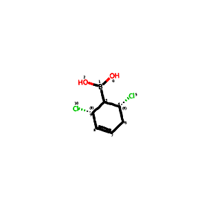 OB(O)C1[C@H](Cl)CC=C[C@@H]1Cl